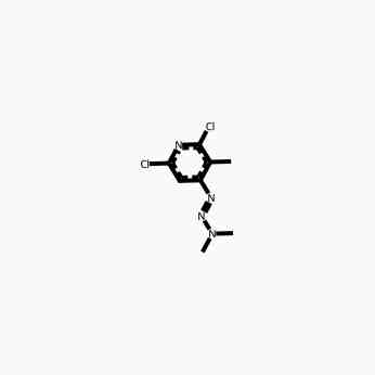 Cc1c(N=NN(C)C)cc(Cl)nc1Cl